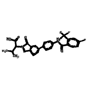 CC(C)C(C(=O)O)N1Cc2ccc(-c3ccc(NC(=O)c4ccc(F)cc4C(F)(F)F)cc3)cc2C1=O